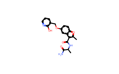 Cc1oc2ccc(OCc3cccnc3O)cc2c1C(=O)NC(C)C(N)=O